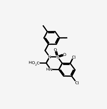 Cc1cc(C)cc(CN2C(C(=O)O)Nc3cc(Cl)cc(Cl)c3S2(=O)=O)c1